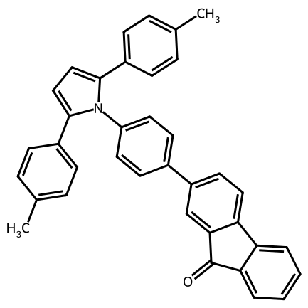 Cc1ccc(-c2ccc(-c3ccc(C)cc3)n2-c2ccc(-c3ccc4c(c3)C(=O)c3ccccc3-4)cc2)cc1